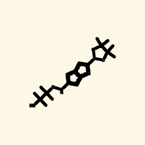 CC(C)(O)C(C)(C)OBc1cc2sc(B3OC(C)(C)C(C)(C)O3)cc2s1